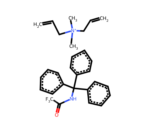 C=CC[N+](C)(C)CC=C.O=C(NC(c1ccccc1)(c1ccccc1)c1ccccc1)C(F)(F)F